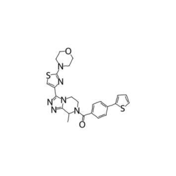 CC1c2nnc(-c3csc(N4CCOCC4)n3)n2CCN1C(=O)c1ccc(-c2cccs2)cc1